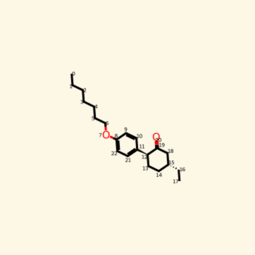 CCCCCCCOc1ccc([C@@H]2CC[C@@H](CC)CC2=O)cc1